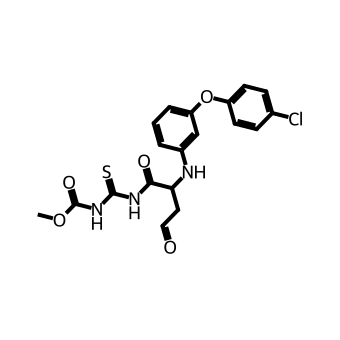 COC(=O)NC(=S)NC(=O)C(CC=O)Nc1cccc(Oc2ccc(Cl)cc2)c1